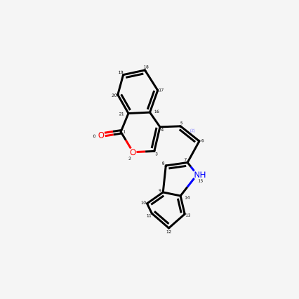 O=c1occ(/C=C\c2cc3ccccc3[nH]2)c2ccccc12